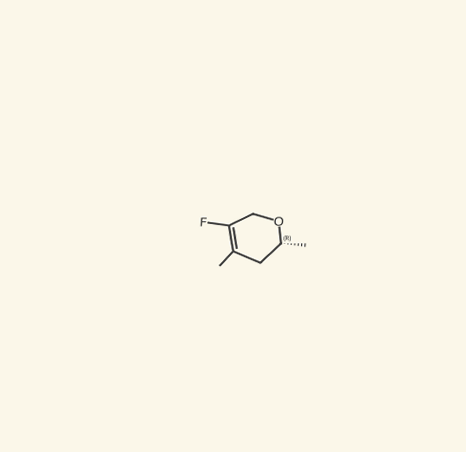 CC1=C(F)CO[C@H](C)C1